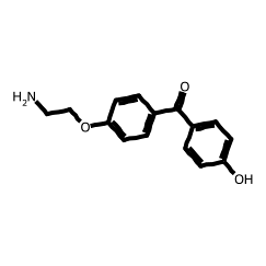 NCCOc1ccc(C(=O)c2ccc(O)cc2)cc1